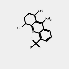 Nc1c2c(nc3c(C(F)(F)F)cccc13)C(O)CCC2O